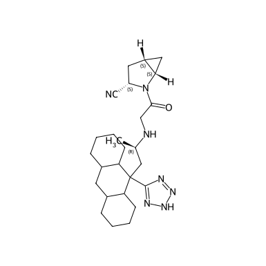 C[C@H](CC1(c2nn[nH]n2)C2CCCCC2CC2CCCCC21)NCC(=O)N1[C@H](C#N)C[C@@H]2C[C@@H]21